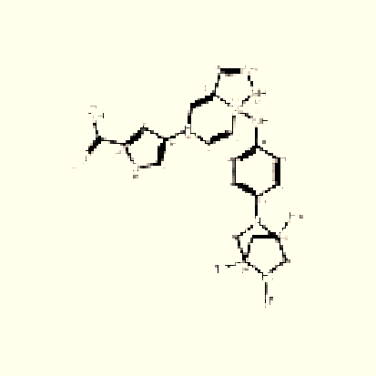 CC(C)(C)N1C[C@@H]2C[C@H]1CN2c1ccc(N[N+]23C=CN(c4coc(C(N)=O)c4)C=C2C=NN3)cc1